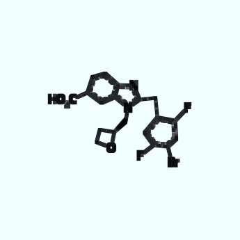 O=C(O)c1ccc2nc(Cc3cc(F)c(Br)cc3F)n(C[C@@H]3CCO3)c2c1